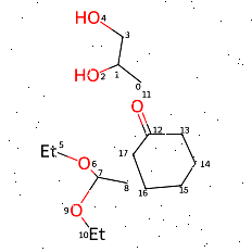 CC(O)CO.CCOC(C)OCC.O=C1CCCCC1